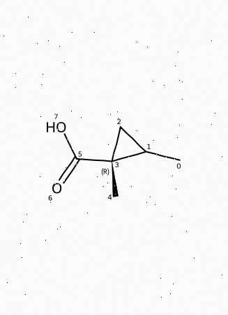 CC1C[C@@]1(C)C(=O)O